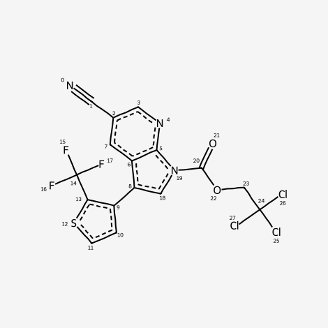 N#Cc1cnc2c(c1)c(-c1ccsc1C(F)(F)F)cn2C(=O)OCC(Cl)(Cl)Cl